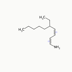 CCCCCC(/C=C\C=C/N)CC